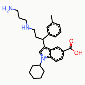 Cc1cccc(C(CCNCCCN)c2cn(C3CCCCC3)c3ccc(C(=O)O)cc23)c1